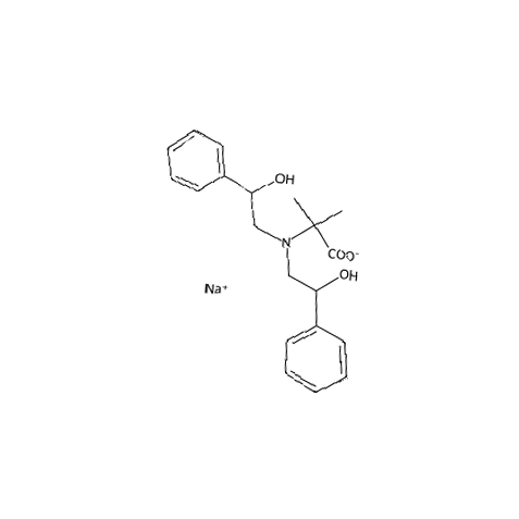 CC(C)(C(=O)[O-])N(CC(O)c1ccccc1)CC(O)c1ccccc1.[Na+]